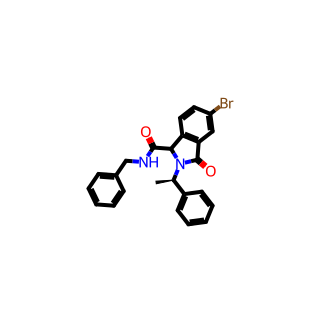 C[C@H](c1ccccc1)N1C(=O)c2cc(Br)ccc2C1C(=O)NCc1ccccc1